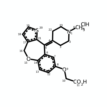 CN1CCC(=C2c3cc(OCC(=O)O)ccc3OCc3ccsc32)CC1.Cl